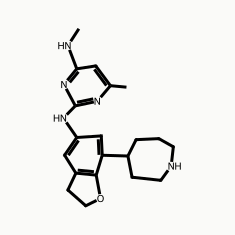 CNc1cc(C)nc(Nc2cc3c(c(C4CCCNCC4)c2)OCC3)n1